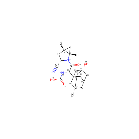 N#C[C@@H]1C[C@@H]2C[C@@H]2N1C(=O)[C@@H](NC(=O)O)[C@]12CC3C[C@H](C[C@](O)(C3)C1)C2